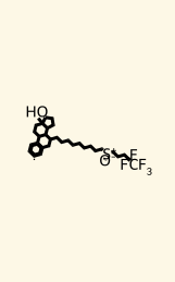 CC12CCC3c4cc[c]cc4CC(CCCCCCCCC[S+]([O-])CCCC(F)(F)C(F)(F)F)C3C1CCC2O